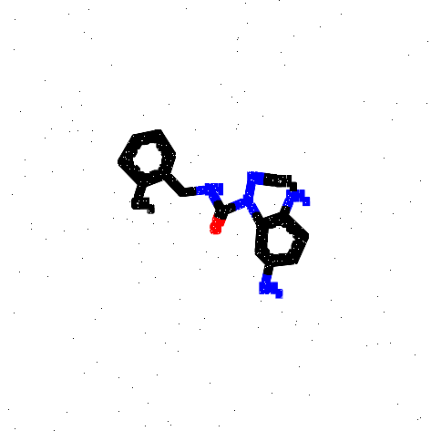 C=NN(C(=O)NCc1ccccc1C)c1cc(N)ccc1N